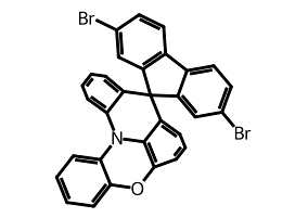 Brc1ccc2c(c1)C1(c3cc(Br)ccc3-2)c2ccccc2N2c3ccccc3Oc3cccc1c32